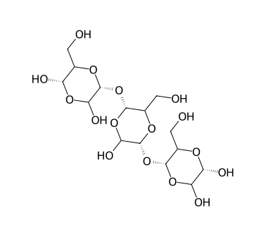 OCC1O[C@H](O[C@H]2OC(O)[C@@H](O)OC2CO)C(O)O[C@@H]1O[C@H]1OC(CO)[C@@H](O)OC1O